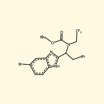 CC(C)CC(c1nc2cc(Br)ccc2[nH]1)N(CC(F)(F)F)C(=O)OC(C)(C)C